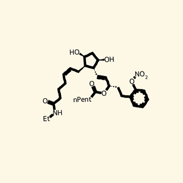 CCCCCC(=O)O[C@H](/C=C/[C@@H]1[C@@H](C/C=C\CCCC(=O)NCC)[C@@H](O)C[C@H]1O)CCc1ccccc1O[N+](=O)[O-]